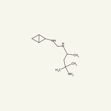 CC(CC(C)(C)N)NCNC1C2CC21